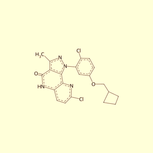 Cc1nn(-c2cc(OCC3CCC3)ccc2Cl)c2c1c(=O)[nH]c1ccc(Cl)nc12